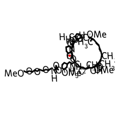 COCCOCCOCCOCCNC(=O)O[C@@H]1CCC(C[C@@H](N)[C@@H]2CC[C@H](C)/C=C(\C)[C@@H](O)[C@@H](OC)C(=O)[C@H](C)C[C@H](C)/C=C/C=C/C=C(\C)[C@@H](OC)C[C@@H]3CC[C@@H](C)[C@@](O)(O3)C(=O)C(=O)N3CCCC[C@H]3C(=O)O2)C[C@H]1OC